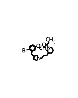 CCC(=O)N1CCCC(CCCN2CCC(Cc3cc(OC)ccc3Br)C2)C1